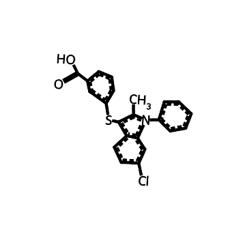 Cc1c(Sc2cccc(C(=O)O)c2)c2ccc(Cl)cc2n1-c1ccccc1